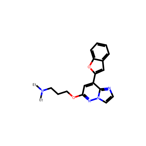 CCN(CC)CCCOc1cc(-c2cc3ccccc3o2)c2nccn2n1